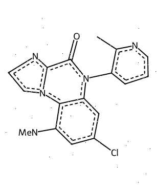 CNc1cc(Cl)cc2c1n1ccnc1c(=O)n2-c1cccnc1C